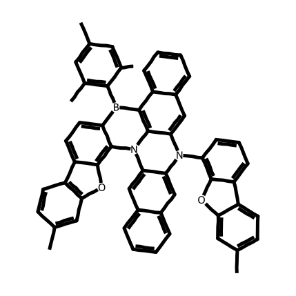 Cc1cc(C)c(B2c3ccc4c(oc5cc(C)ccc54)c3N3c4cc5ccccc5cc4N(c4cccc5c4oc4cc(C)ccc45)c4cc5ccccc5c2c43)c(C)c1